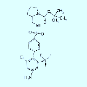 CC(C)(C)OC(=O)N1CCCC1CNS(=O)(=O)c1ccc(-c2c(Cl)cc(N)cc2C(F)(F)F)cc1